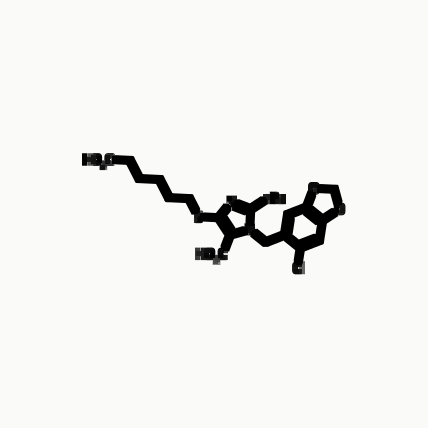 CCCCc1nc(SCCCCCC(=O)O)c(C(=O)O)n1Cc1cc2c(cc1Cl)OCO2